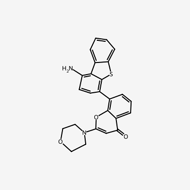 Nc1ccc(-c2cccc3c(=O)cc(N4CCOCC4)oc23)c2sc3ccccc3c12